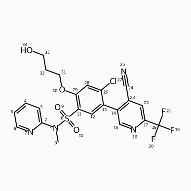 CN(c1ccccn1)S(=O)(=O)c1cc(-c2cnc(C(F)(F)F)cc2C#N)c(Cl)cc1OCCCO